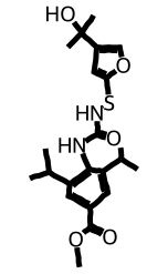 COC(=O)c1cc(C(C)C)c(NC(=O)NSc2cc(C(C)(C)O)co2)c(C(C)C)c1